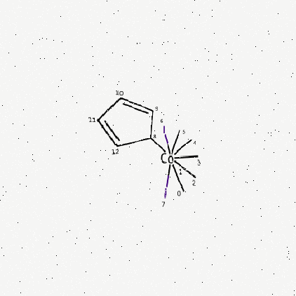 [CH3][Co]([CH3])([CH3])([CH3])([CH3])([I])([I])[CH]1C=CC=C1